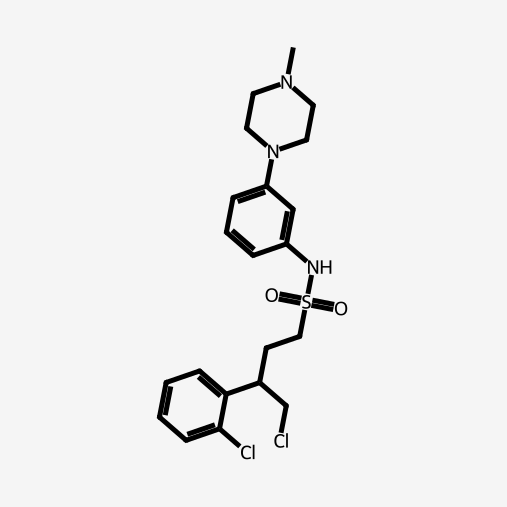 CN1CCN(c2cccc(NS(=O)(=O)CCC(CCl)c3ccccc3Cl)c2)CC1